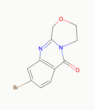 O=c1c2ccc(Br)cc2nc2n1CCOC2